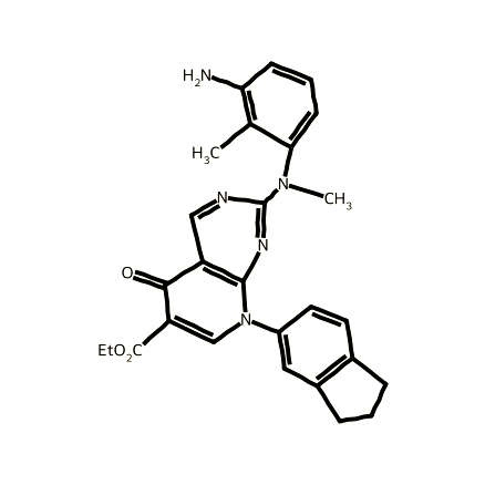 CCOC(=O)c1cn(-c2ccc3c(c2)CCC3)c2nc(N(C)c3cccc(N)c3C)ncc2c1=O